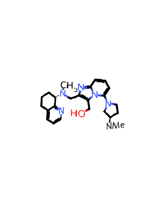 CN[C@@H]1CCN(c2cccc3nc(CN(C)[C@H]4CCCc5cccnc54)c(CO)n23)C1